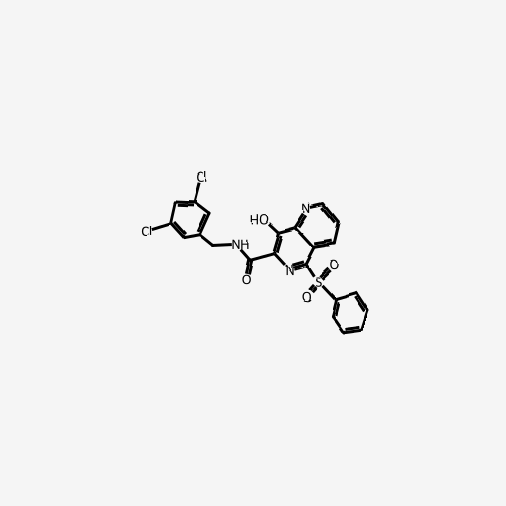 O=C(NCc1cc(Cl)cc(Cl)c1)c1nc(S(=O)(=O)c2ccccc2)c2cccnc2c1O